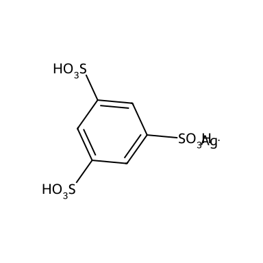 O=S(=O)(O)c1cc(S(=O)(=O)O)cc(S(=O)(=O)O)c1.[Ag]